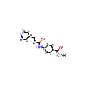 COC(=O)c1ccc(NC(=O)C=Cc2ccncc2)cc1